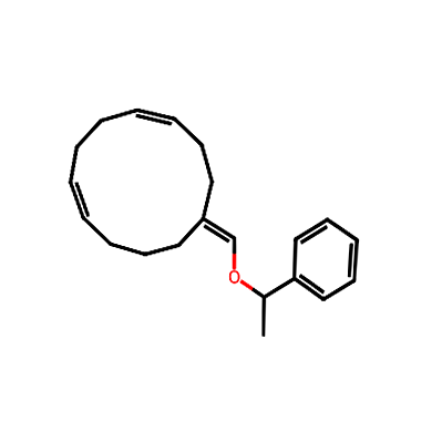 CC(OC=C1CCC=CCCC=CCCC1)c1ccccc1